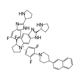 Fc1cc2nc(C3CCCN3)[nH]c2cc1[C@@H]1CCC[N@+]1(c1cc(F)c(N2CCC(c3ccc4ccccc4c3)CC2)c(F)c1)c1cc2[nH]c([C@@H]3CCCN3)nc2cc1F